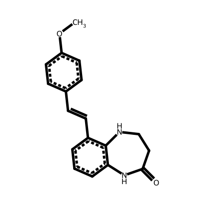 COc1ccc(/C=C/c2cccc3c2NCCC(=O)N3)cc1